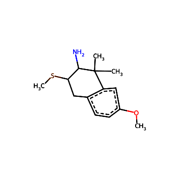 COc1ccc2c(c1)C(C)(C)C(N)C(SC)C2